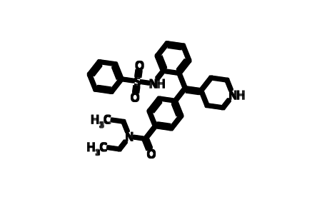 CCN(CC)C(=O)c1ccc(C(=C2CCNCC2)c2ccccc2NS(=O)(=O)c2ccccc2)cc1